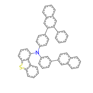 c1ccc(-c2cc3ccccc3cc2-c2ccc(N(c3cccc(-c4ccc5ccccc5c4)c3)c3cccc4sc5ccccc5c34)cc2)cc1